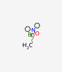 [CH2]CCCOC(=O)N(c1ccccc1)c1ccccc1Br